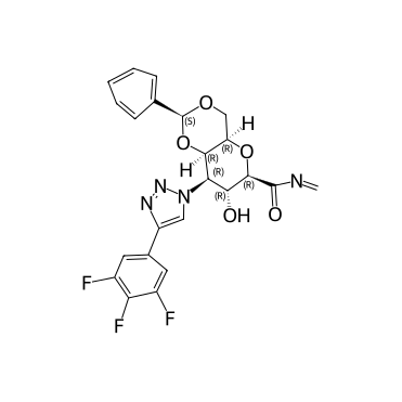 C=NC(=O)[C@@H]1O[C@@H]2CO[C@H](c3ccccc3)O[C@@H]2[C@H](n2cc(-c3cc(F)c(F)c(F)c3)nn2)[C@H]1O